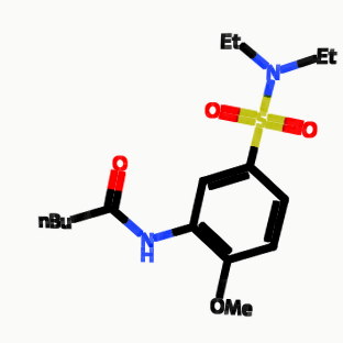 CCCCC(=O)Nc1cc(S(=O)(=O)N(CC)CC)ccc1OC